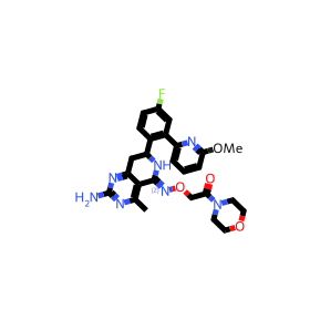 COc1cccc(-c2cc(F)ccc2C2Cc3nc(N)nc(C)c3/C(=N/OCC(=O)N3CCOCC3)N2)n1